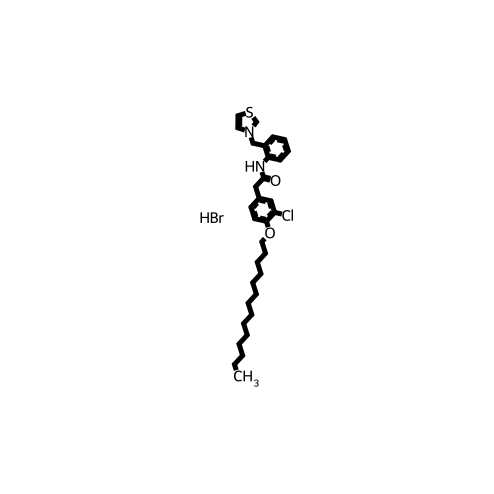 Br.CCCCCCCCCCCCCCOc1ccc(CC(=O)Nc2ccccc2CN2C=CSC2)cc1Cl